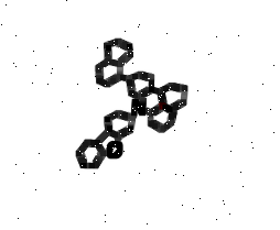 c1ccc(-c2ccc(-c3cccc4ccccc34)cc2N(c2ccccc2)c2ccc3c(c2)oc2ccccc23)cc1